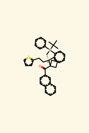 CC(C)(C)[Si](C[C@]1(CCc2cccs2)CC2CC1(C(=O)c1ccc3ccccc3c1)C2)(c1ccccc1)c1ccccc1